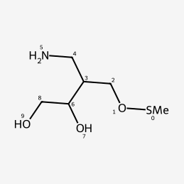 CSOCC(CN)C(O)CO